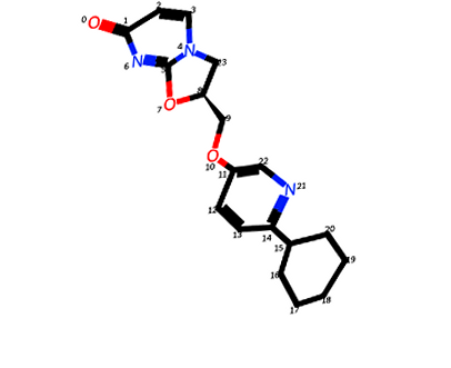 O=c1ccn2c(n1)O[C@H](COc1ccc(C3CCCCC3)nc1)C2